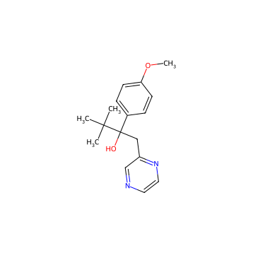 COc1ccc(C(O)(Cc2cnccn2)C(C)(C)C)cc1